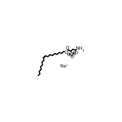 CCCCCCCC/C=C\CCCCCCCCOC(=O)C(CC(N)=O)S(=O)(=O)[O-].[Na+]